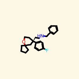 Fc1ccc([C@@]2(CCNCc3ccccc3)CCOC3(CCCC3)C2)cc1